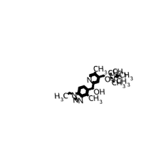 CCn1nnc2c(C)c(C(O)c3cc(CO[Si](C)(C)C(C)(C)C)c(C)cn3)ccc21